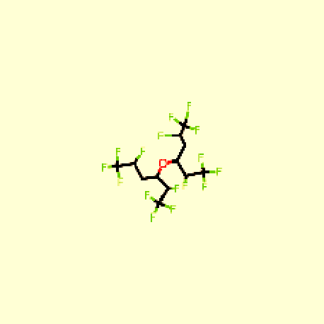 FC(CC(OC(CC(F)C(F)(F)F)C(F)C(F)(F)F)C(F)C(F)(F)F)C(F)(F)F